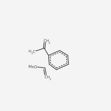 C=C(C)c1ccccc1.C=COC